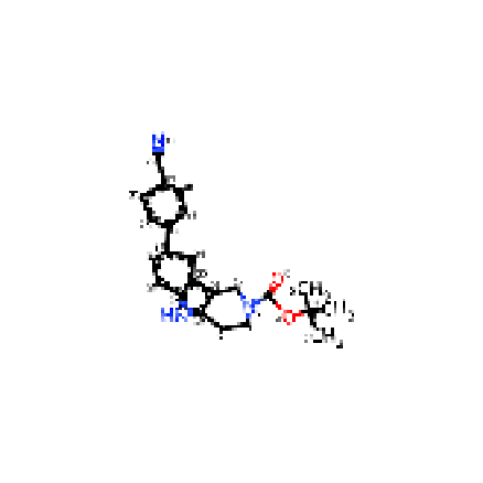 CC(C)(C)OC(=O)N1CCc2[nH]c3ccc(-c4ccc(C#N)cc4)cc3c2C1